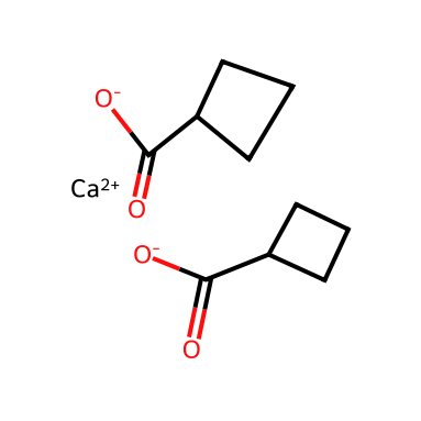 O=C([O-])C1CCC1.O=C([O-])C1CCC1.[Ca+2]